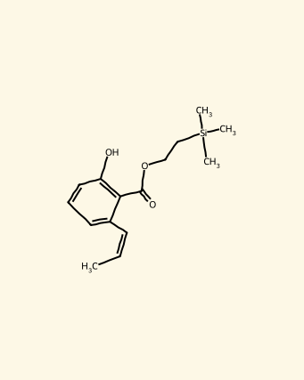 C/C=C\c1cccc(O)c1C(=O)OCC[Si](C)(C)C